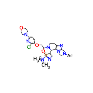 CC(=O)N1CCn2c(nc3c2C(c2cnc(N(C)C)s2)N(C(=O)COc2ccc(N4CCOCC4)nc2Cl)CC3)C1